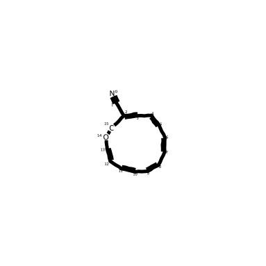 N#CC1=CC=CC=CC=CC=CC=COC1